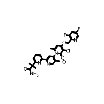 CC1=CC(OCc2ncc(F)cc2F)=C(Cl)C(=C=O)N1c1cc(-c2cccc(C(C)(C)C(N)=O)n2)ncc1C